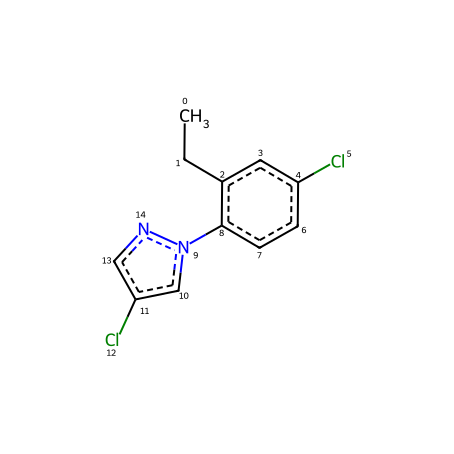 CCc1cc(Cl)ccc1-n1cc(Cl)cn1